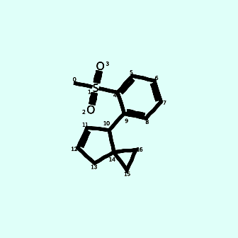 CS(=O)(=O)c1ccccc1C1C=CCC12CC2